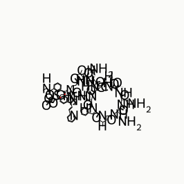 CNC(=O)c1ccccc1Sc1ccc2c(/C=C/c3ccccn3)nn(C(=O)N(CCOCc3oc(=O)oc3C)CCC(=O)N[C@H](C(=O)N[C@H](CCN)C(=O)N[C@H]3CCNC(=O)[C@@H]([C@@H](C)O)NC(=O)[C@@H](CCN)NC(=O)[C@@H](CCN)NC(=O)[C@@H](CC(C)C)NC(=O)[C@@H](Cc4ccccc4)NC(=O)[C@@H](CCN)NC3=O)[C@@H](C)O)c2c1